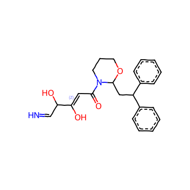 N=CC(O)/C(O)=C/C(=O)N1CCCOC1CC(c1ccccc1)c1ccccc1